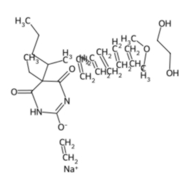 C=C.C=C.C=C.C=C.C=C.C=C.CCCC(C)C1(CC)C(=O)N=C([O-])NC1=O.COC.OCCO.[Na+]